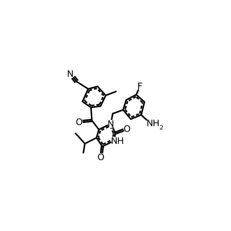 Cc1cc(C#N)cc(C(=O)c2c(C(C)C)c(=O)[nH]c(=O)n2Cc2cc(N)cc(F)c2)c1